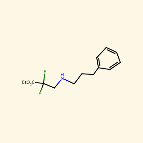 CCOC(=O)C(F)(F)CNCCCc1ccccc1